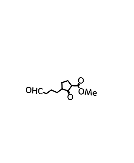 COC(=O)C1CCC(CCCC=O)C1=O